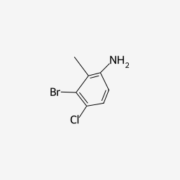 Cc1c(N)ccc(Cl)c1Br